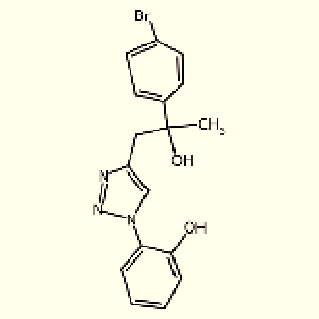 CC(O)(Cc1cn(-c2ccccc2O)nn1)c1ccc(Br)cc1